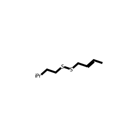 CC=CCSSCCC(C)C